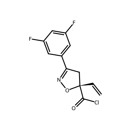 C=C[C@]1(C(=O)Cl)CC(c2cc(F)cc(F)c2)=NO1